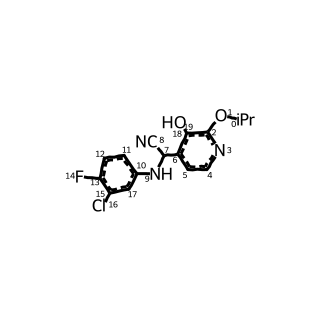 CC(C)Oc1nccc(C(C#N)Nc2ccc(F)c(Cl)c2)c1O